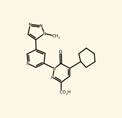 Cn1nncc1-c1cncc(-n2nc(C(=O)O)cc(C3CCCCC3)c2=O)c1